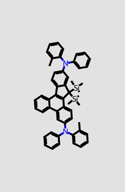 Cc1ccccc1N(c1ccccc1)c1ccc2c(c1)C([Si](C)(C)C)([Si](C)(C)C)c1c-2c2ccccc2c2cc(N(c3ccccc3)c3ccccc3C)ccc12